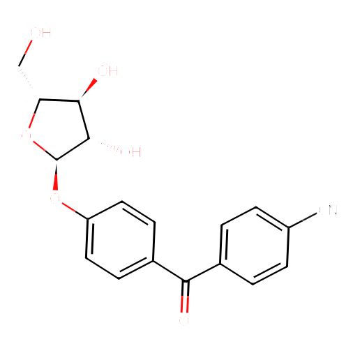 N#Cc1ccc(C(=O)c2ccc(O[C@H]3O[C@H](CO)[C@@H](O)[C@@H]3O)cc2)cc1